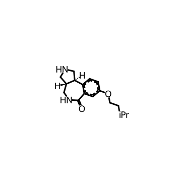 CC(C)CCOc1ccc2c(c1)C(=O)NC[C@@H]1CNC[C@@H]21